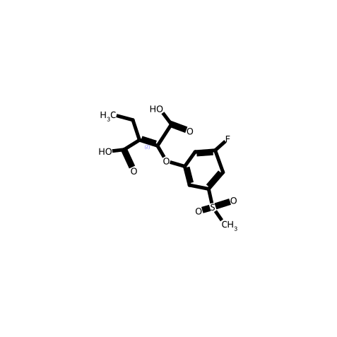 CC/C(C(=O)O)=C(/Oc1cc(F)cc(S(C)(=O)=O)c1)C(=O)O